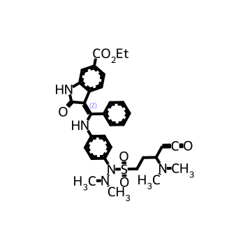 CCOC(=O)c1ccc2c(c1)NC(=O)/C2=C(\Nc1ccc(N(N(C)C)S(=O)(=O)CCC(C=C=O)N(C)C)cc1)c1ccccc1